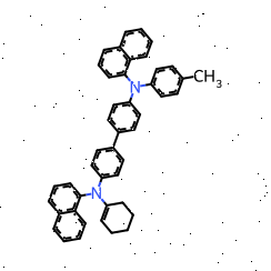 Cc1ccc(N(c2ccc(-c3ccc(N(C4=CCCCC4)c4cccc5ccccc45)cc3)cc2)c2cccc3ccccc23)cc1